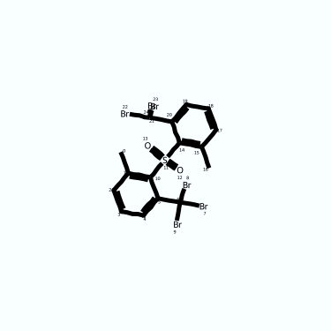 Cc1cccc(C(Br)(Br)Br)c1S(=O)(=O)c1c(C)cccc1C(Br)(Br)Br